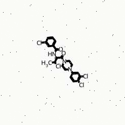 CC(C)[C@@H](NC(=O)c1cccc(Cl)c1)C(=O)N1CCN(c2ccc(Cl)c(Cl)c2)CC1